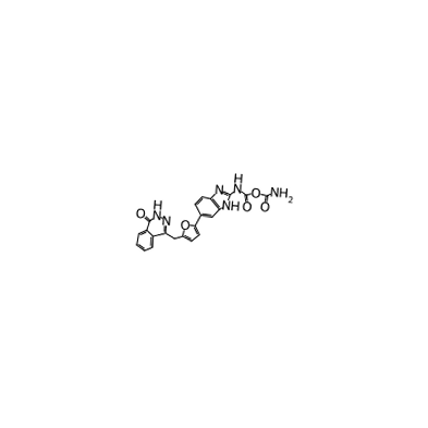 NC(=O)OC(=O)Nc1nc2ccc(-c3ccc(Cc4n[nH]c(=O)c5ccccc45)o3)cc2[nH]1